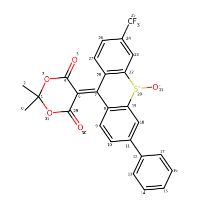 CC1(C)OC(=O)C(=C2c3ccc(-c4ccccc4)cc3[S+]([O-])c3cc(C(F)(F)F)ccc32)C(=O)O1